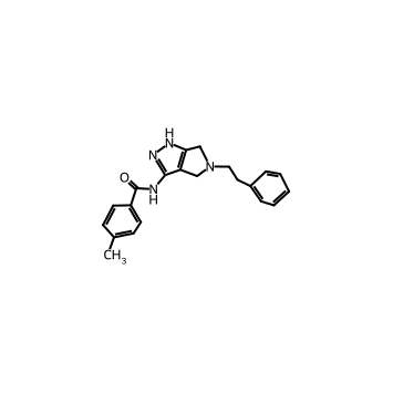 Cc1ccc(C(=O)Nc2n[nH]c3c2CN(CCc2ccccc2)C3)cc1